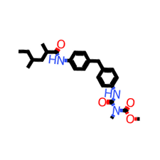 CCC(C)CC(C)C(=O)Nc1ccc(Cc2ccc(NC(=O)N(C)C(=O)OC)cc2)cc1